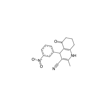 CC1=C(C#N)C(c2cccc([N+](=O)[O-])c2)C2=C(CCCC2=O)N1